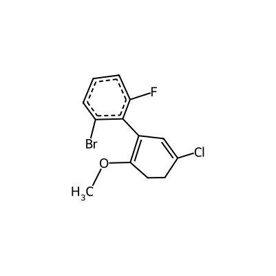 COC1=C(c2c(F)cccc2Br)C=C(Cl)CC1